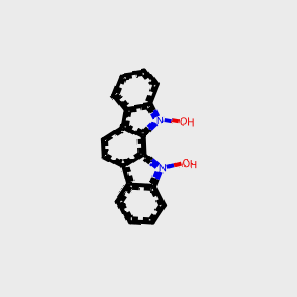 On1c2ccccc2c2ccc3c4ccccc4n(O)c3c21